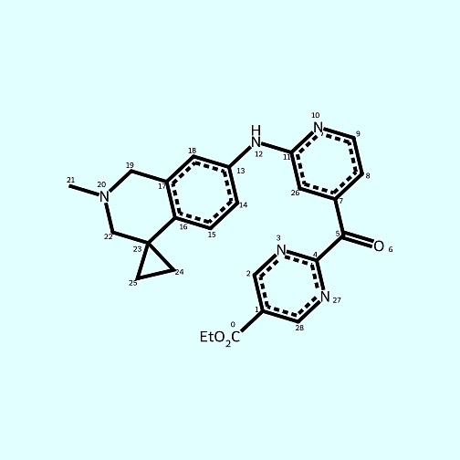 CCOC(=O)c1cnc(C(=O)c2ccnc(Nc3ccc4c(c3)CN(C)CC43CC3)c2)nc1